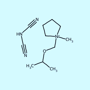 CC(C)OC[N+]1(C)CCCC1.N#CNC#N